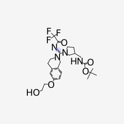 CC(C)(C)OC(=O)NCC1CCN(/C(=N\C(=O)C(F)(F)F)N2CCc3cc(OCCO)ccc3C2)C1